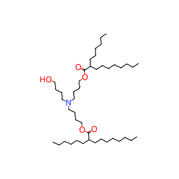 CCCCCCCCC(CCCCCC)C(=O)OCCCCN(CCCCO)CCCCOC(=O)C(CCCCCC)CCCCCCCC